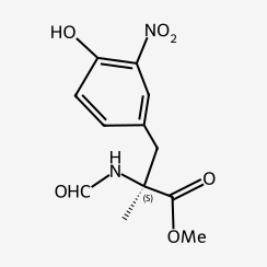 COC(=O)[C@](C)(Cc1ccc(O)c([N+](=O)[O-])c1)NC=O